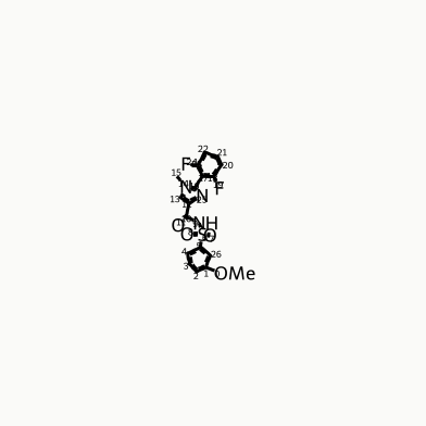 COc1cccc(S(=O)(=O)NC(=O)c2cn(C)c(-c3c(F)cccc3F)n2)c1